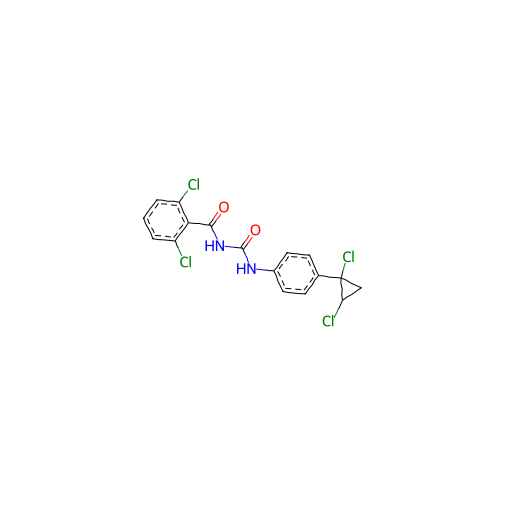 O=C(NC(=O)c1c(Cl)cccc1Cl)Nc1ccc(C2(Cl)CC2Cl)cc1